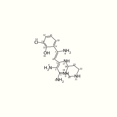 N=C(N)/C(N)=C(/C=C(\N)c1cccc(Cl)c1O)NC1CCNCC1